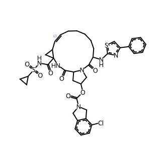 O=C1NC2(C(=O)NS(=O)(=O)C3CC3)CC2/C=C\CCCCCC(Nc2nc(-c3ccccc3)cs2)C(=O)N2CC(OC(=O)N3Cc4cccc(Cl)c4C3)CC12